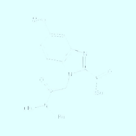 CCCCN(CCCC)C(=O)Cn1c(C(=O)C(C)(C)C)nc2cc(OC)ccc21